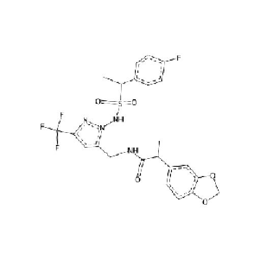 CC(C(=O)NCc1cc(C(F)(F)F)nn1NS(=O)(=O)C(C)c1ccc(F)cc1)c1ccc2c(c1)OCO2